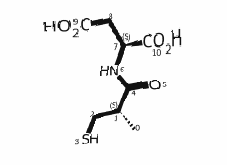 C[C@H](CS)C(=O)N[C@@H](CC(=O)O)C(=O)O